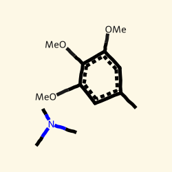 CN(C)C.COc1cc(C)cc(OC)c1OC